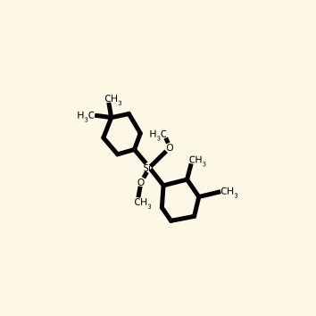 CO[Si](OC)(C1CCC(C)(C)CC1)C1CCCC(C)C1C